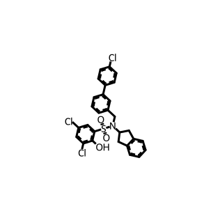 O=S(=O)(c1cc(Cl)cc(Cl)c1O)N(Cc1cccc(-c2ccc(Cl)cc2)c1)C1Cc2ccccc2C1